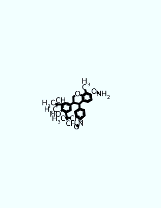 Cc1c(ON)ccc2c1OCC(c1cc(C(C)(C)C)c(O)c(C(C)(C)C)c1)C2c1ccc(N=O)cc1